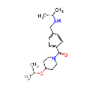 CC(C)NCc1ccc(C(=O)N2CCC(OC(C)C)CC2)cc1